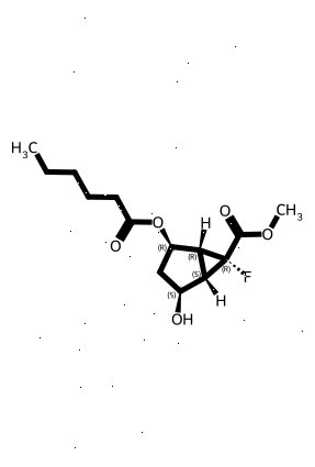 CCCCCC(=O)O[C@@H]1C[C@H](O)[C@@H]2[C@H]1[C@@]2(F)C(=O)OC